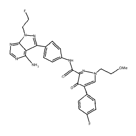 COCCn1cc(-c2ccc(F)cc2)c(=O)c(C(=O)Nc2ccc(-c3nn(CCF)c4ncnc(N)c34)cc2)n1